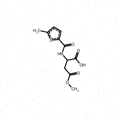 COC(=O)CC(NC(=O)c1ccc(C)s1)C(=O)O